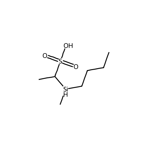 CCCC[SiH](C)[C](C)S(=O)(=O)O